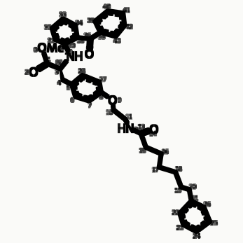 COC(=O)[C@H](Cc1ccc(OCCNC(=O)CCCCCCc2ccccc2)cc1)Nc1ccccc1C(=O)c1ccccc1